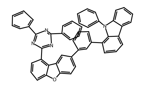 c1ccc(-c2nc(-c3ccccc3)nc(-c3cccc4oc5ccc(-c6cccc(-c7cccc8c9ccccc9n(-c9ccccc9)c78)c6)cc5c34)n2)cc1